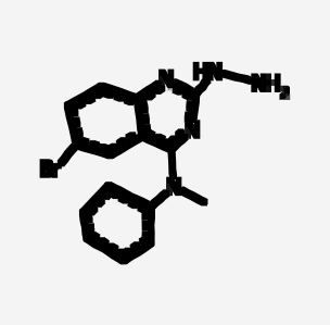 CN(c1ccccc1)c1nc(NN)nc2ccc(Br)cc12